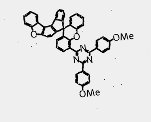 COc1ccc(-c2nc(-c3ccc(OC)cc3)nc(-c3cccc4c3Oc3ccccc3C43c4ccccc4-c4c3ccc3oc5ccccc5c43)n2)cc1